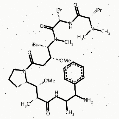 CCC(C)[C@@H]([C@@H](CC(=O)N1CCC[C@H]1[C@H](OC)[C@@H](C)C(=O)N[C@H](C)C(N)c1ccccc1)OC)N(C)C(=O)[C@@H](NC(=O)[C@H](C(C)C)N(C)C)C(C)C